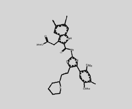 COC(=O)Cc1c(C(=O)Nc2nc(-c3cc(OC)c(C)cc3OC)c(CCC3CCCCC3)s2)[nH]c2cc(C)c(C)cc12